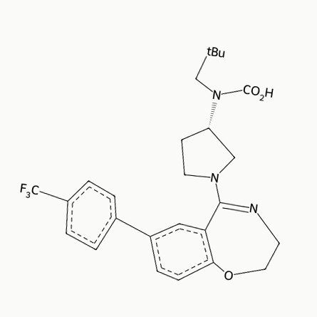 CC(C)(C)CN(C(=O)O)[C@H]1CCN(C2=NCCOc3ccc(-c4ccc(C(F)(F)F)cc4)cc32)C1